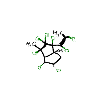 C/C(Cl)=C(/Cl)[C@]1(Cl)[C@@H]2C[C@H](Cl)C(Cl)C2C(C)(Cl)C1(Cl)Cl